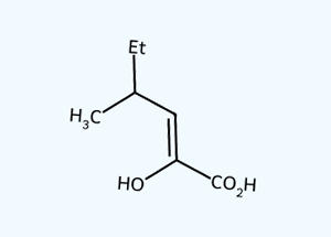 CCC(C)C=C(O)C(=O)O